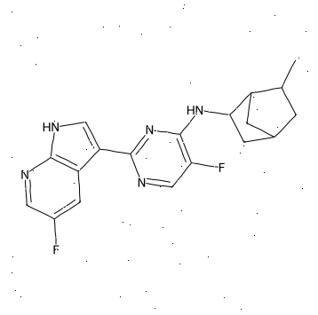 CC1CC2CC(Nc3nc(-c4c[nH]c5ncc(F)cc45)ncc3F)C1C2